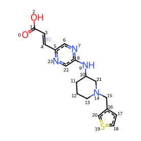 O=C(O)/C=C/c1cnc(NC2CCCN(Cc3ccsc3)C2)cn1